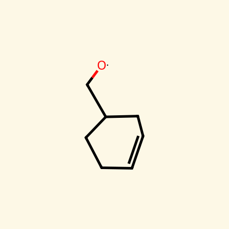 [O]CC1CC=CCC1